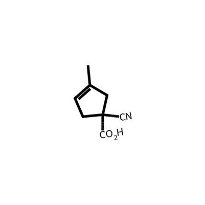 CC1=CCC(C#N)(C(=O)O)C1